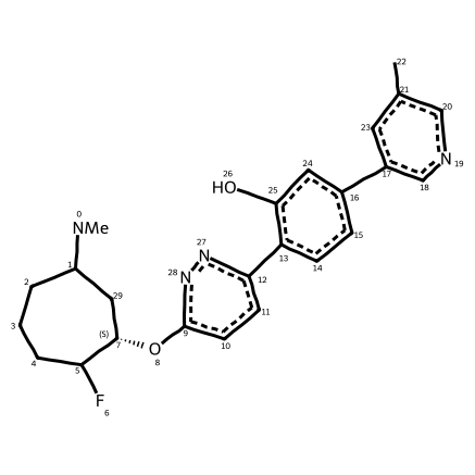 CNC1CCCC(F)[C@@H](Oc2ccc(-c3ccc(-c4cncc(C)c4)cc3O)nn2)C1